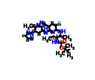 CC[C@H](NC(=O)OC(C)(C)C)[C@@H](C)Nc1nc(Nc2cnc(C)c(-n3nccn3)c2)c(C#N)cc1F